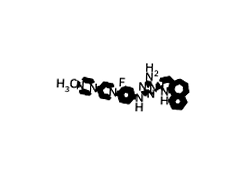 CN1CCN(C2CCN(c3ccc(Nc4nc(N)n(N5C=CC6=C(N5)c5ccccc5CCC6)n4)cc3F)CC2)CC1